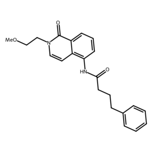 COCCn1ccc2c(NC(=O)CCCc3ccccc3)cccc2c1=O